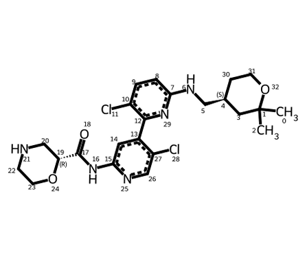 CC1(C)C[C@@H](CNc2ccc(Cl)c(-c3cc(NC(=O)[C@H]4CNCCO4)ncc3Cl)n2)CCO1